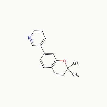 CC1(C)C=Cc2ccc(-c3cccnc3)cc2O1